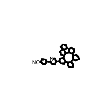 N#Cc1ccc(-c2ccc(-c3ccc4c5ccccc5c5ccccc5c5ccccc5c5c6ccccc6ccc5c4c3)cn2)cc1